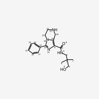 CC(C)(CO)CNC(=O)c1nc(-c2ccccc2)n2c1CNCC2